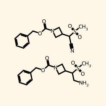 CS(=O)(=O)C(C#N)C1CN(C(=O)OCc2ccccc2)C1.CS(=O)(=O)C(CN)C1CN(C(=O)OCc2ccccc2)C1